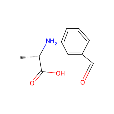 C[C@H](N)C(=O)O.O=Cc1ccccc1